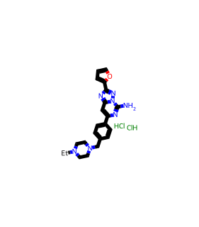 CCN1CCN(Cc2ccc(-c3cc4nc(-c5ccco5)nn4c(N)n3)cc2)CC1.Cl.Cl